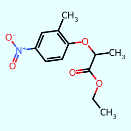 CCOC(=O)C(C)Oc1ccc([N+](=O)[O-])cc1C